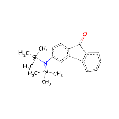 C[Si](C)(C)N(c1ccc2c(c1)-c1ccccc1C2=O)[Si](C)(C)C